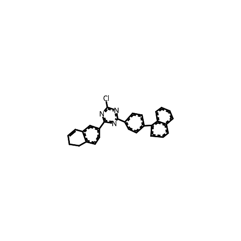 Clc1nc(-c2ccc(-c3cccc4ccccc34)cc2)nc(-c2ccc3c(c2)C=CCC3)n1